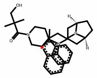 Cc1nc2ccccc2n1C1C[C@H]2CC[C@@H](C1)N2CCC1(c2ccccc2)CCN(C(=O)C(C)(C)CO)CC1